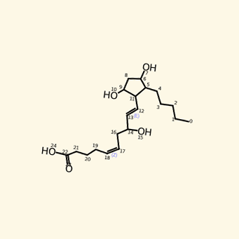 CCCCCC1C(O)CC(O)C1/C=C/C(O)C/C=C\CCCC(=O)O